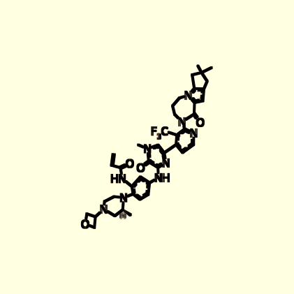 C=CC(=O)Nc1cc(Nc2nc(-c3ccnc(N4CCCn5c(cc6c5CC(C)(C)C6)C4=O)c3C(F)(F)F)cn(C)c2=O)ccc1N1CCN(C2COC2)C[C@@H]1C